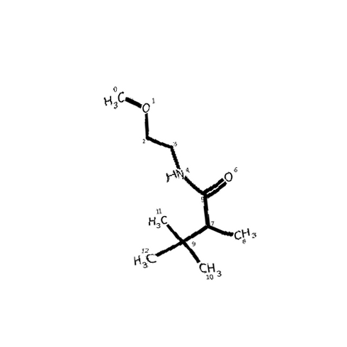 COCCNC(=O)C(C)C(C)(C)C